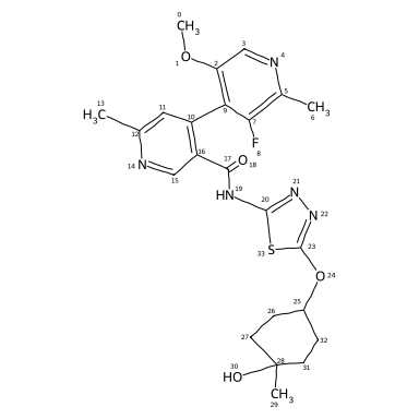 COc1cnc(C)c(F)c1-c1cc(C)ncc1C(=O)Nc1nnc(OC2CCC(C)(O)CC2)s1